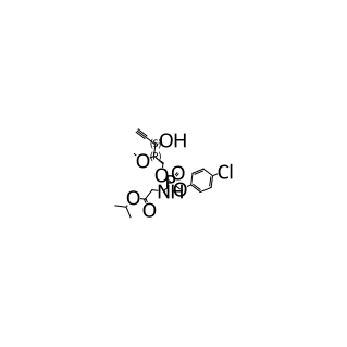 C#C[C@H](O)[C@@H](COP(=O)(NCC(=O)OC(C)C)Oc1ccc(Cl)cc1)OC